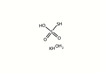 O.O=S(=O)(O)S.[KH]